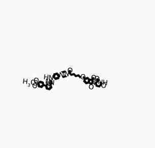 CS(=O)(=O)c1ccc(-c2cccc3nc(Nc4ccc(N5CCN(C(=O)CCCCCOc6ccc7c(c6)C(=O)N(C6CCC(=O)NC6=O)C7=O)CC5)cc4)nn23)cc1